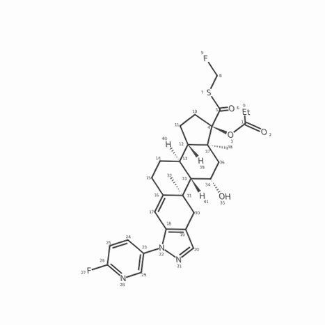 CCC(=O)O[C@]1(C(=O)SCF)CC[C@H]2[C@@H]3CCC4=Cc5c(cnn5-c5ccc(F)nc5)C[C@]4(C)[C@H]3[C@@H](O)C[C@@]21C